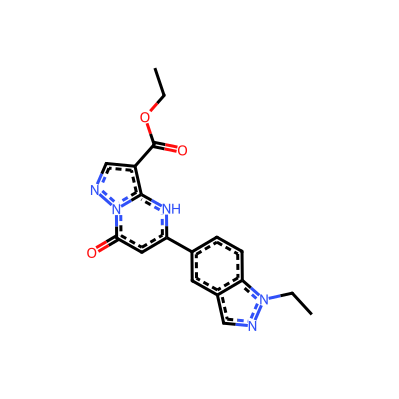 CCOC(=O)c1cnn2c(=O)cc(-c3ccc4c(cnn4CC)c3)[nH]c12